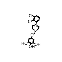 Oc1cc(OCN2CCN(c3cccc(Cl)c3Cl)CC2)cc(O)c1O